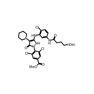 CCCCCCCCCCCCCC(=O)Nc1ccc(Cl)c(Nc2[nH]n(-c3c(Cl)cc(C(=O)OC)cc3Cl)c(=O)c2N2CCCCC2)c1